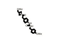 COCC1CN(C(=O)Cc2ccc(NC(=O)NCc3ccc(OC)cc3)cc2)C1